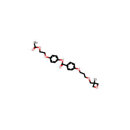 CCC(C)C(=O)OCCOc1ccc(OC(=O)c2ccc(OCCCOCC3(CC)COC3)cc2)cc1